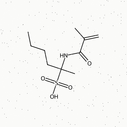 C=C(C)C(=O)NC(C)(CCCC)S(=O)(=O)O